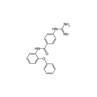 N=C(N)Nc1ccc(C(=O)Nc2ccccc2Oc2ccccc2)cc1